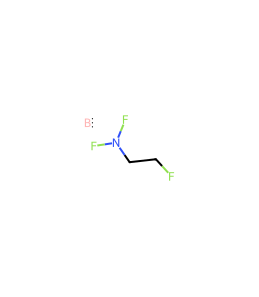 FCCN(F)F.[B]